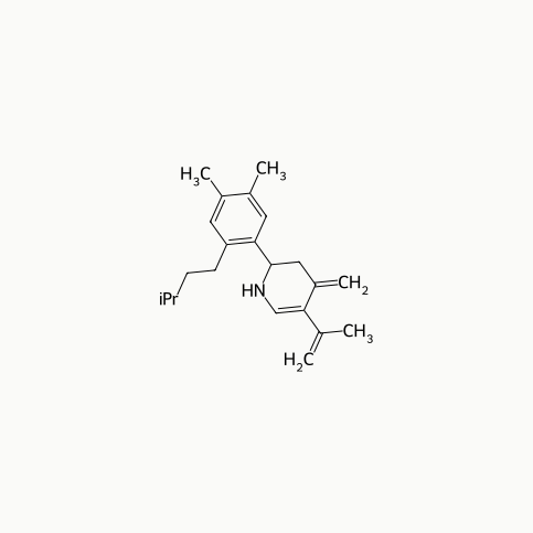 C=C(C)C1=CNC(c2cc(C)c(C)cc2CCC(C)C)CC1=C